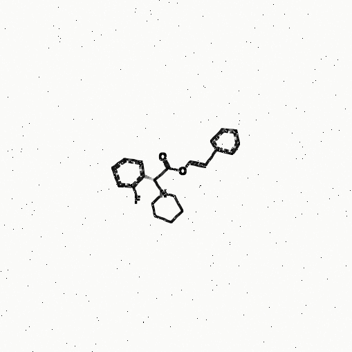 O=C(OC=Cc1ccccc1)[C@@H](c1ccccc1F)N1CCCCC1